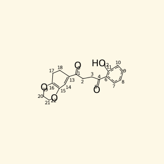 O=C(CCC(=O)c1ccccc1O)C1=CC2=C(CC1)OCCO2